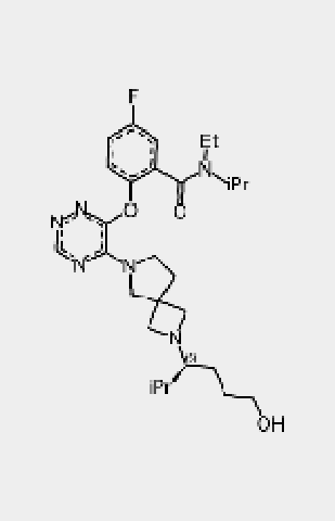 CCN(C(=O)c1cc(F)ccc1Oc1nncnc1N1CCC2(C1)CN([C@@H](CCCO)C(C)C)C2)C(C)C